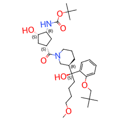 COCCCC[C@@](O)(c1ccccc1OCC(C)(C)C)[C@@H]1CCCN(C(=O)[C@@H]2C[C@H](O)[C@H](NC(=O)OC(C)(C)C)C2)C1